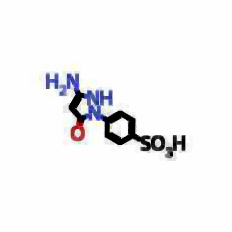 Nc1cc(=O)n(-c2ccc(S(=O)(=O)O)cc2)[nH]1